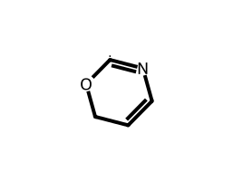 [C]1=NC=CCO1